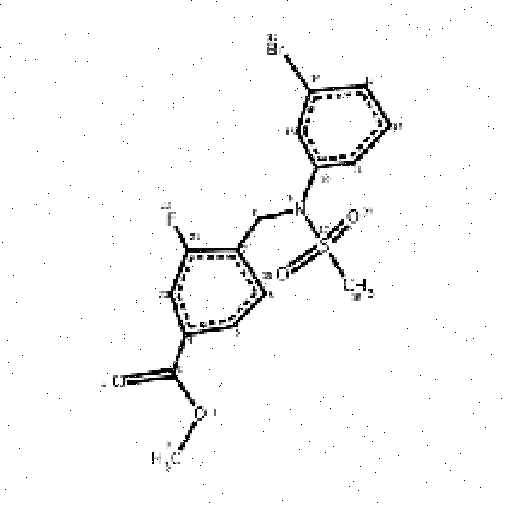 COC(=O)c1ccc(CN(c2cccc(Br)c2)S(C)(=O)=O)c(F)c1